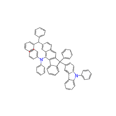 c1ccc(C(c2ccccc2)c2ccc3cc4c(c(N(c5ccccc5)c5ccccc5)c3c2)-c2ccccc2C4(c2ccccc2)c2ccc3c(c2)c2ccccc2n3-c2ccccc2)cc1